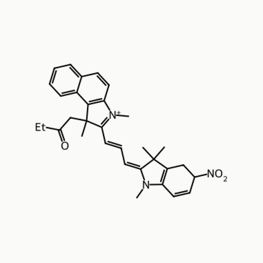 CCC(=O)CC1(C)C(/C=C/C=C2/N(C)C3=C(CC([N+](=O)[O-])C=C3)C2(C)C)=[N+](C)c2ccc3ccccc3c21